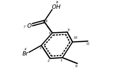 Cc1cc(Br)c(C(=O)O)cc1C